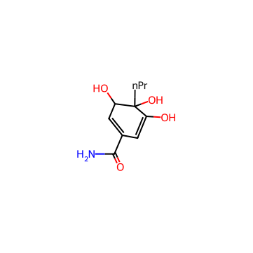 CCCC1(O)C(O)=CC(C(N)=O)=CC1O